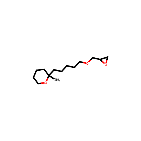 [SiH3]C1(CCCCCOCC2CO2)CCCCO1